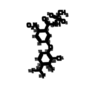 CS(=O)(=O)NC(=O)c1cc(Oc2ccc(C(F)F)c(F)c2Cl)ccc1[N+](=O)[O-]